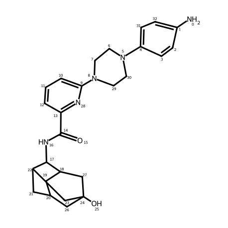 Nc1ccc(N2CCN(c3cccc(C(=O)NC4C5CC6CC4CC(O)(C6)C5)n3)CC2)cc1